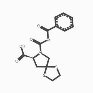 O=C(OC(=O)N1CC2(C[C@H]1C(=O)O)SCCS2)c1ccccc1